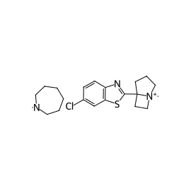 C1CCC[N]CC1.Clc1ccc2nc(C34CCC[N+]3CC4)sc2c1